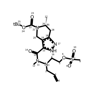 C=CCN(CCOS(C)(=O)=O)N(C)C(=O)c1[nH]nc2c1CN(C(=O)OC(C)(C)C)[C@H](C)C2